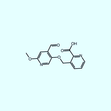 COc1cc(C=O)c(OCc2cccnc2C(=O)O)cn1